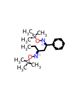 CC/C(C/C(=N\O[Si](C)(C)C)c1ccccc1)=N\O[Si](C)(C)C